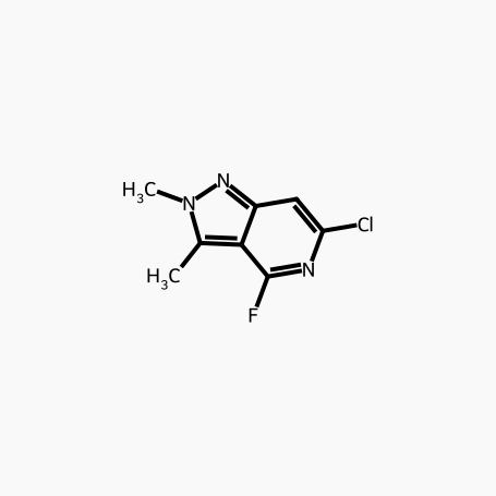 Cc1c2c(F)nc(Cl)cc2nn1C